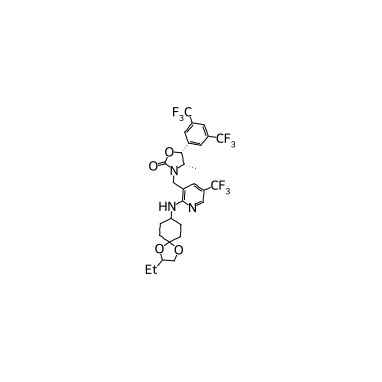 CCC1COC2(CCC(Nc3ncc(C(F)(F)F)cc3CN3C(=O)O[C@H](c4cc(C(F)(F)F)cc(C(F)(F)F)c4)[C@@H]3C)CC2)O1